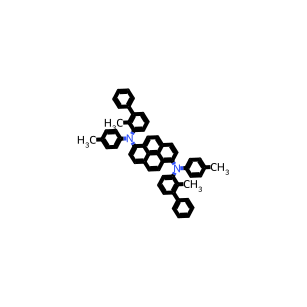 Cc1ccc(N(c2cccc(-c3ccccc3)c2C)c2ccc3ccc4c(N(c5ccc(C)cc5)c5cccc(-c6ccccc6)c5C)ccc5ccc2c3c54)cc1